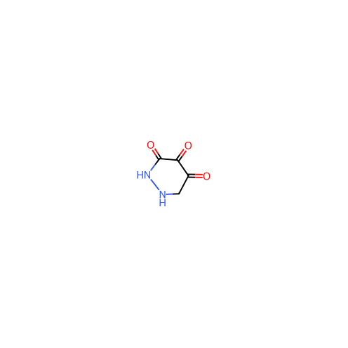 O=C1CNNC(=O)C1=O